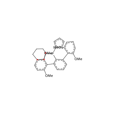 COc1cccc(OC)c1-c1cccc(-c2c(OC)cccc2OC)c1P(c1cccs1)C1CCCCC1